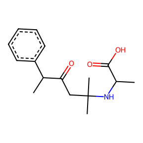 CC(NC(C)(C)CC(=O)C(C)c1ccccc1)C(=O)O